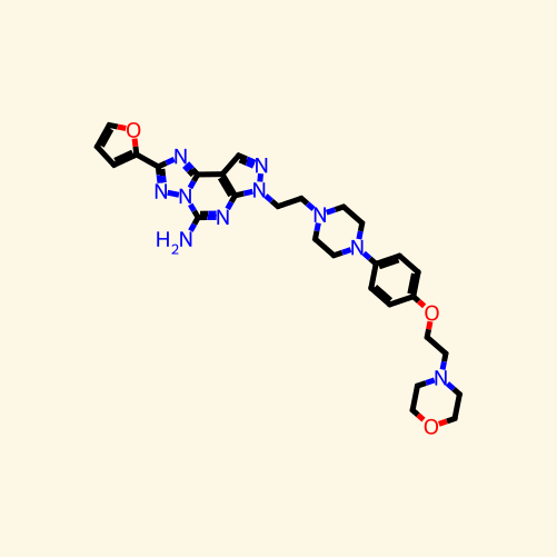 Nc1nc2c(cnn2CCN2CCN(c3ccc(OCCN4CCOCC4)cc3)CC2)c2nc(-c3ccco3)nn12